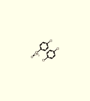 C=O.Clc1ccc(Cl)cc1.Clc1ccc(Cl)cc1